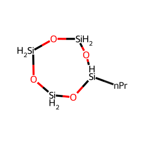 CCC[SiH]1O[SiH2]O[SiH2]O[SiH2]O1